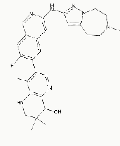 Cc1c(-c2cc3cc(Nc4cc5n(n4)CCN(C)CC5)ncc3cc2F)cnc2c1NCC(C)(C)C2O